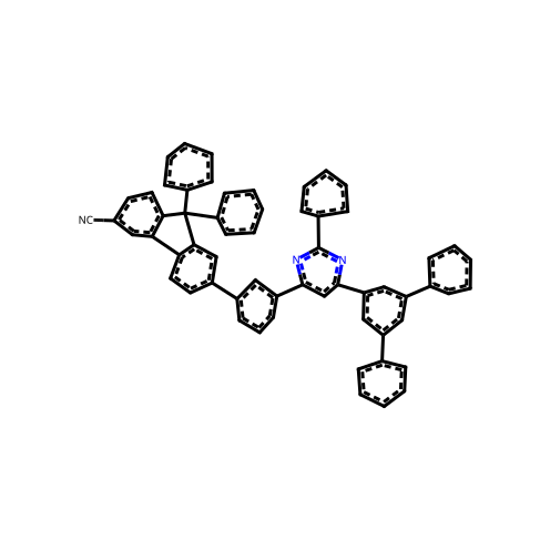 N#Cc1ccc2c(c1)-c1ccc(-c3cccc(-c4cc(-c5cc(-c6ccccc6)cc(-c6ccccc6)c5)nc(-c5ccccc5)n4)c3)cc1C2(c1ccccc1)c1ccccc1